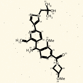 C=Cc1nc(-c2cnn(CC(C)(C)O)c2)ccc1C(N)c1ccc(C(=O)N2CC(OC)C2)cc1OC